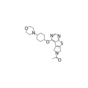 CC(=O)N1Cc2sc3ncnc(OC4CCC(N5CCOCC5)CC4)c3c2C1